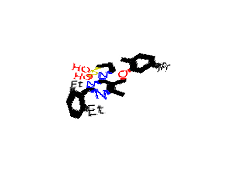 CCc1cccc(CC)c1-c1nc(C)c(COc2cc(C(C)C)ccc2C)c(N2CCCS2(O)O)n1